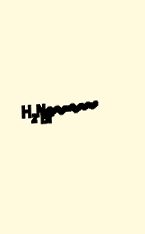 CCCCCCCCCCCCCC(N)Br